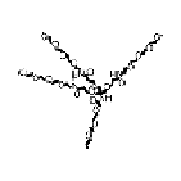 CCCOCCOCCOCC(=O)NC(COCCC(=O)NCCOCCOCCOCCOC)(COCCC(=O)NCCOCCOCCOCCOC)COCCC(=O)NCCOCCOCCOCCOC